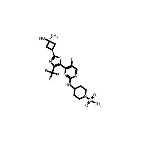 CS(=O)(=O)N1CCC(Nc2ncc(F)c(-c3sc([C@H]4C[C@@](C)(O)C4)nc3C(F)(F)F)n2)CC1